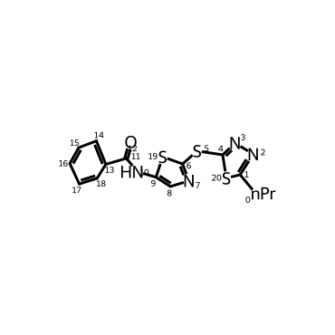 CCCc1nnc(Sc2ncc(NC(=O)c3ccccc3)s2)s1